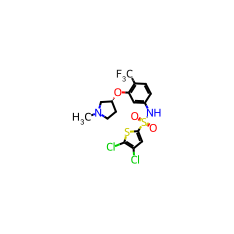 CN1CC[C@@H](Oc2cc(NS(=O)(=O)c3cc(Cl)c(Cl)s3)ccc2C(F)(F)F)C1